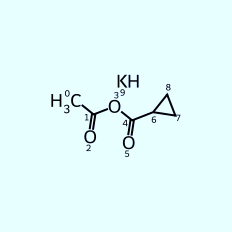 CC(=O)OC(=O)C1CC1.[KH]